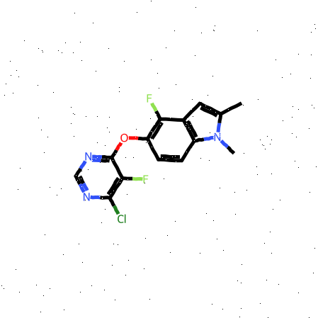 Cc1cc2c(F)c(Oc3ncnc(Cl)c3F)ccc2n1C